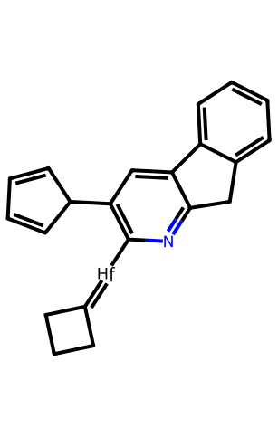 C1=CC(c2cc3c(n[c]2[Hf]=[C]2CCC2)Cc2ccccc2-3)C=C1